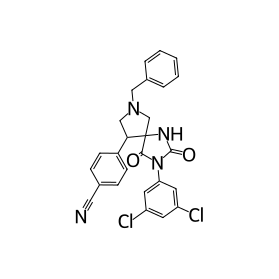 N#Cc1ccc(C2CN(Cc3ccccc3)CC23NC(=O)N(c2cc(Cl)cc(Cl)c2)C3=O)cc1